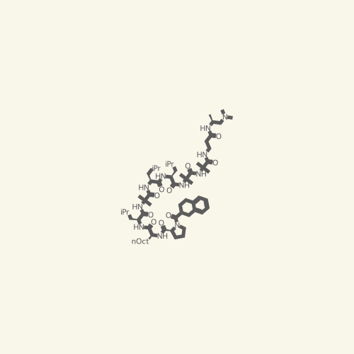 CCCCCCCC[C@H](NC(=O)[C@@H]1CCCN1C(=O)C1CCc2ccccc2C1)C(=O)N[C@@H](CC(C)C)C(=O)NC(C)(C)C(=O)N[C@@H](CC(C)C)C(=O)N[C@@H](CC(C)C)C(=O)NC(C)(C)C(=O)NC(C)(C)C(=O)NCCC(=O)N[C@@H](C)CN(C)C